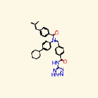 CC(C)Cc1ccc(C(=O)N(Cc2ccc(C(=O)Nc3nn[nH]n3)cc2)c2ccc(C3CCCCC3)cc2)cc1